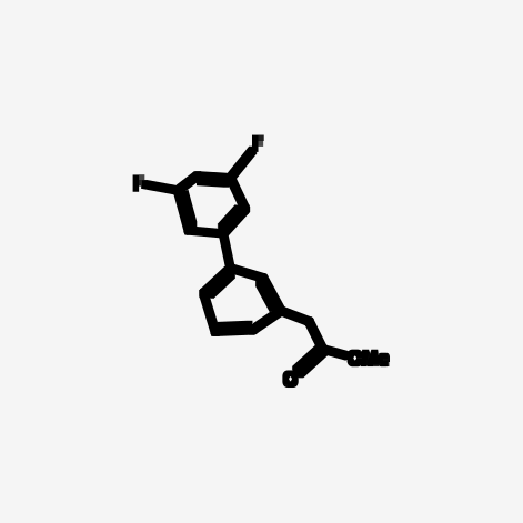 COC(=O)Cc1cccc(-c2cc(F)cc(F)c2)c1